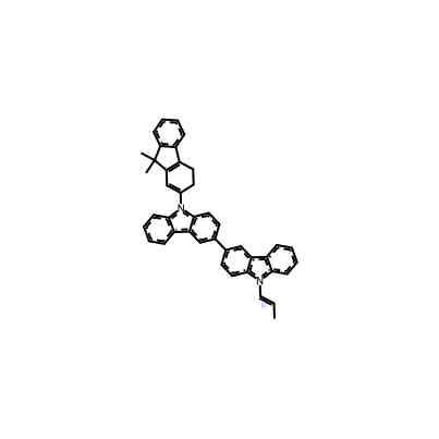 C/C=C/n1c2ccccc2c2cc(-c3ccc4c(c3)c3ccccc3n4C3=CC4=C(CC3)c3ccccc3C4(C)C)ccc21